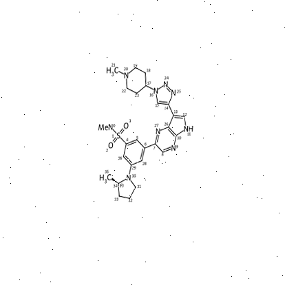 CNS(=O)(=O)c1cc(-c2cnc3[nH]cc(-c4cn(C5CCN(C)CC5)nn4)c3n2)cc(N2CCC[C@H]2C)c1